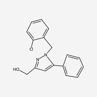 OCc1cc(-c2ccccc2)n(Cc2ccccc2Cl)n1